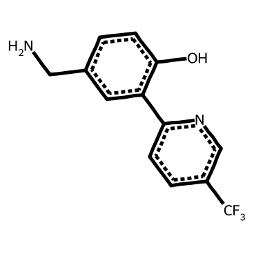 NCc1ccc(O)c(-c2ccc(C(F)(F)F)cn2)c1